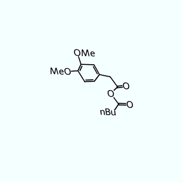 [CH2]CCCC(=O)OC(=O)Cc1ccc(OC)c(OC)c1